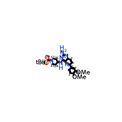 COc1ccc(-c2ccc3nc(N)nc(NC4CCN(C(=O)OC(C)(C)C)CC4)c3n2)cc1OC